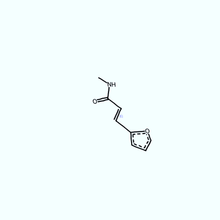 CNC(=O)/C=C/c1ccco1